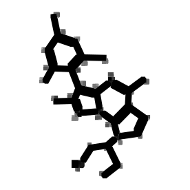 CCC(CO)n1ccc2c(C)nc3c(-c4c(C)cc(C)cc4C)c(C)nn3c21